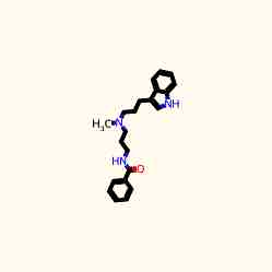 CN(CCCNC(=O)c1ccccc1)CCCc1c[nH]c2ccccc12